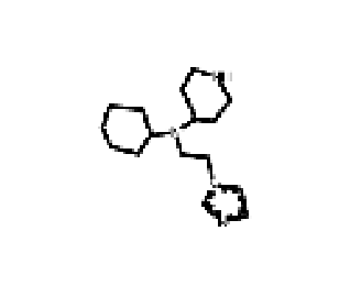 c1cn(CCN(C2CCCCC2)C2CCNCC2)cn1